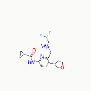 O=C(Nc1ccc(C2CCOC2)c(CNCC(F)F)n1)C1CC1